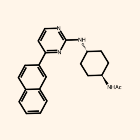 CC(=O)N[C@H]1CC[C@H](Nc2nccc(-c3ccc4ccccc4c3)n2)CC1